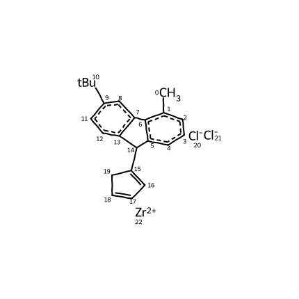 Cc1cccc2c1-c1cc(C(C)(C)C)ccc1C2C1=CC=CC1.[Cl-].[Cl-].[Zr+2]